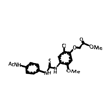 COC(=O)COc1cc(OC)c(NC(=S)Nc2ccc(NC(C)=O)cc2)cc1Cl